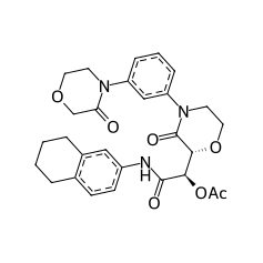 CC(=O)O[C@@H](C(=O)Nc1ccc2c(c1)CCCC2)[C@H]1OCCN(c2cccc(N3CCOCC3=O)c2)C1=O